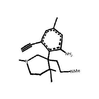 C#Cc1cc(C)cc(N)c1C1(CCNC)CN(C)CCC1(C)C